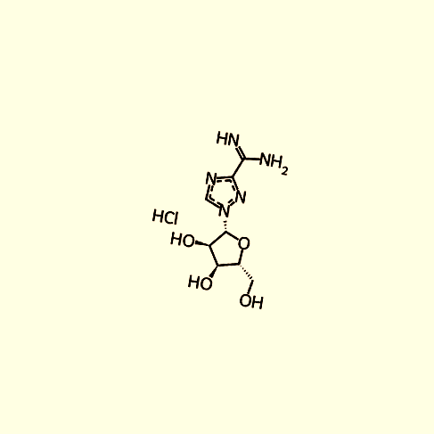 Cl.N=C(N)c1ncn([C@@H]2O[C@H](CO)[C@@H](O)[C@H]2O)n1